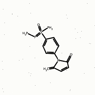 C=C1C=CC(=O)N1c1ccc(S(=O)(P)=PP)cc1